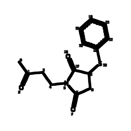 CC(=O)CCN1C(=O)CC(Sc2ccccc2)C1=O